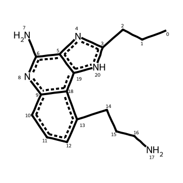 CCCc1nc2c(N)nc3cccc(CCCN)c3c2[nH]1